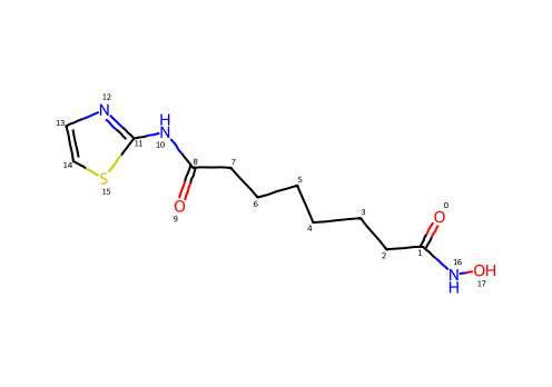 O=C(CCCCCCC(=O)Nc1nccs1)NO